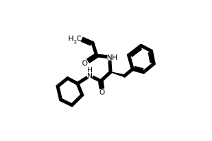 C=CC(=O)N[C@@H](Cc1ccccc1)C(=O)NC1CCCCC1